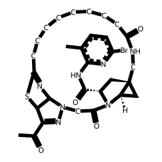 CC(=O)C1=NN2CC(=O)N3[C@H](C(=O)Nc4nc(Br)ccc4C)C[C@@]4(CNC(=O)CCCCCCCCC5=NC2C1S5)C[C@@H]34